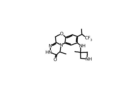 CC1C(=O)NN=C2COc3cc(C(C)C(F)(F)F)c(NC4(C)CNC4)cc3N21